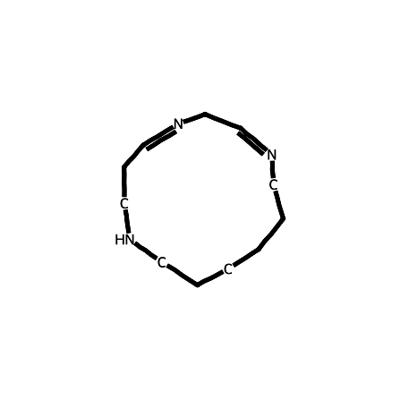 C1=NCC=NCCCCCCNCC1